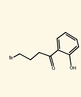 O=C(CCCBr)c1ccccc1O